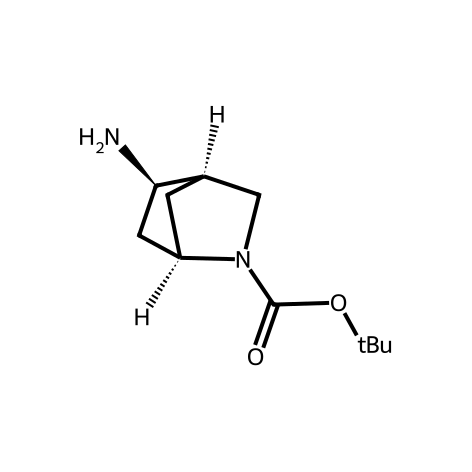 CC(C)(C)OC(=O)N1C[C@H]2C[C@@H]1C[C@H]2N